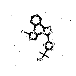 CC(C)(O)c1noc(-c2nnc3c4ccccc4n4c(Cl)ncc4n23)n1